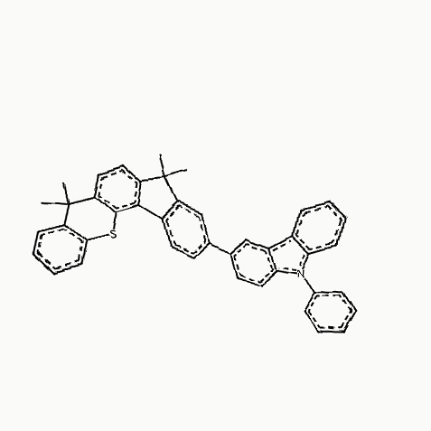 CC1(C)c2ccccc2Sc2c1ccc1c2-c2ccc(-c3ccc4c(c3)c3ccccc3n4-c3ccccc3)cc2C1(C)C